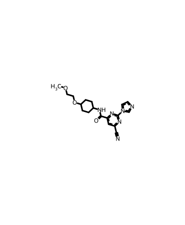 COCCOC1CCC(NC(=O)c2cc(C#N)nc(-n3ccnc3)n2)CC1